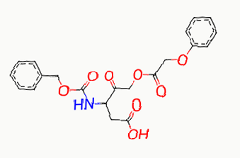 O=C(O)CC(NC(=O)OCc1ccccc1)C(=O)COC(=O)COc1ccccc1